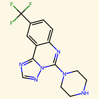 FC(F)(F)c1ccc2nc(N3CCNCC3)n3ncnc3c2c1